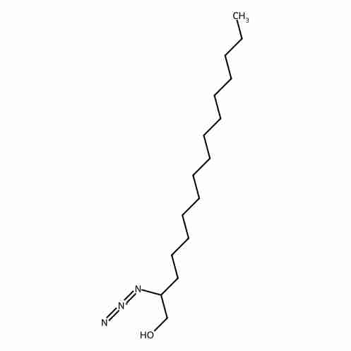 CCCCCCCCCCCCCCC(CO)N=[N+]=[N-]